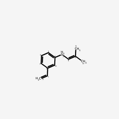 C=Cc1cccc([SiH2]C=C(C)C)c1